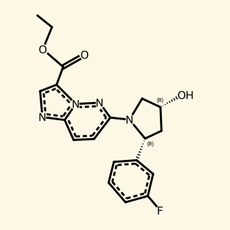 CCOC(=O)c1cnc2ccc(N3C[C@H](O)C[C@@H]3c3cccc(F)c3)nn12